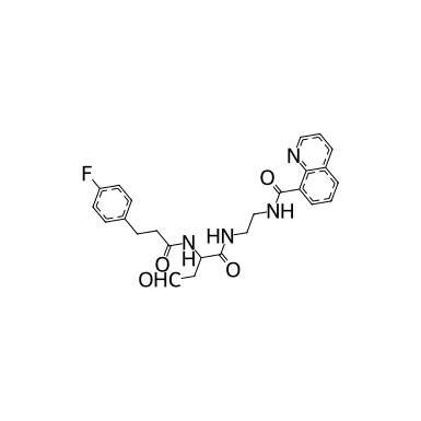 O=CCC(NC(=O)CCc1ccc(F)cc1)C(=O)NCCNC(=O)c1cccc2cccnc12